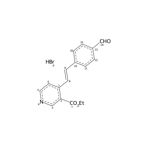 Br.CCOC(=O)c1cnccc1C=Cc1ccc(C=O)cc1